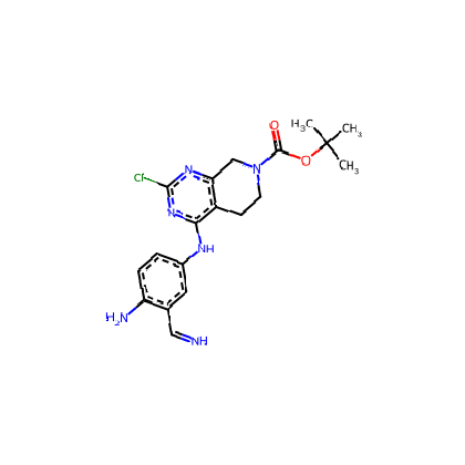 CC(C)(C)OC(=O)N1CCc2c(nc(Cl)nc2Nc2ccc(N)c(C=N)c2)C1